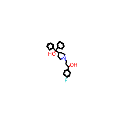 OC(CCN1CCC(C(O)(c2ccccc2)c2ccccc2)CC1)c1ccc(F)cc1